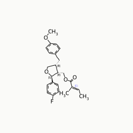 C/C=C(\C)C(=O)OC[C@H]1[C@@H](Cc2ccc(OC)cc2)CO[C@@H]1c1ccc(F)cc1